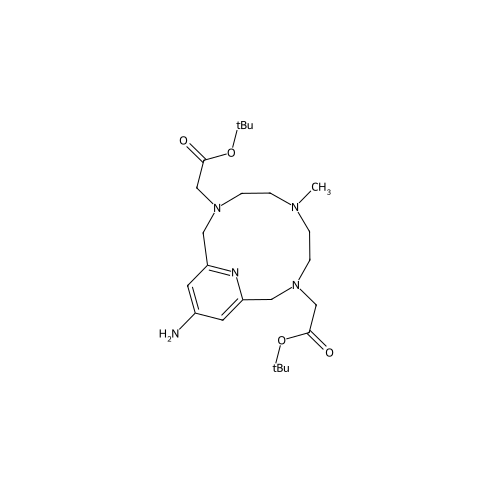 CN1CCN(CC(=O)OC(C)(C)C)Cc2cc(N)cc(n2)CN(CC(=O)OC(C)(C)C)CC1